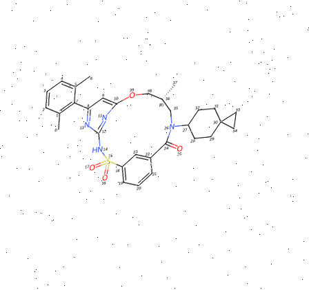 Cc1cccc(C)c1-c1cc2nc(n1)NS(=O)(=O)c1cccc(c1)C(=O)N(C1CCC3(CC1)CC3)C[C@@H](C)CO2